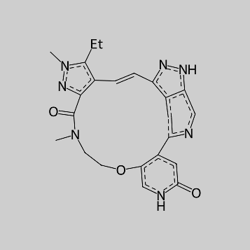 CCc1c2c(nn1C)C(=O)N(C)CCOc1c[nH]c(=O)cc1-c1cc3c(n[nH]c3cn1)/C=C/2